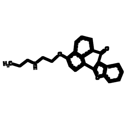 CCCNCCOc1ccc2c3c(cccc13)C(=O)c1c-2oc2ccccc12